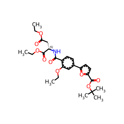 CCOC(=O)C[C@H](NC(=O)c1ccc(-c2ccc(C(=O)OC(C)(C)C)o2)cc1OCC)C(=O)OCC